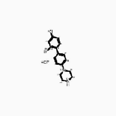 Cl.Clc1ccc(-c2ccc(N3CCNCC3)cc2)c(Br)c1